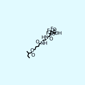 CCC(C)C(=O)OCCCC(=O)NCCNC(=O)C(F)(F)C(F)(F)S(=O)(=O)O